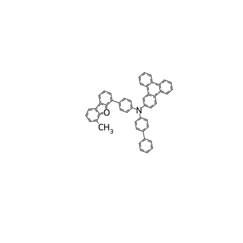 Cc1cccc2c1oc1c(-c3ccc(N(c4ccc(-c5ccccc5)cc4)c4ccc5c6ccccc6c6ccccc6c5c4)cc3)cccc12